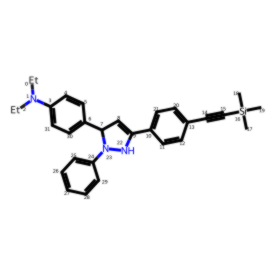 CCN(CC)c1ccc(C2C=C(c3ccc(C#C[Si](C)(C)C)cc3)NN2c2ccccc2)cc1